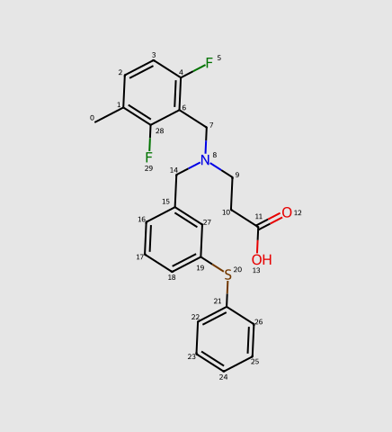 Cc1ccc(F)c(CN(CCC(=O)O)Cc2cccc(Sc3ccccc3)c2)c1F